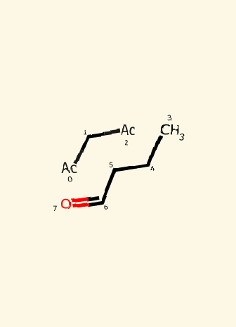 CC(=O)CC(C)=O.CCCC=O